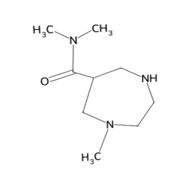 CN1CCNCC(C(=O)N(C)C)C1